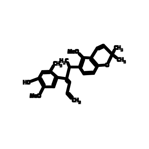 C=C/C=C(\c1cc(OC)c(O)cc1C)C(C)c1ccc2c(c1OC)C=CC(C)(C)O2